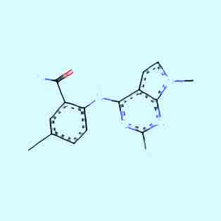 Cc1ccc(Nc2nc(Cl)nc3c2ccn3C)c(C(N)=O)c1